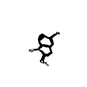 CC1Cc2cc(O)ccc2N1C